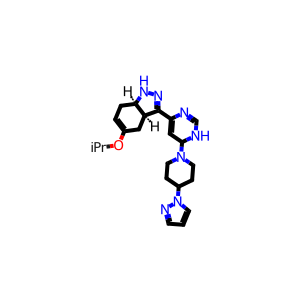 CC(C)OC1=CC[C@H]2NN=C(C3=CC(N4CCC(n5cccn5)CC4)NC=N3)[C@H]2C1